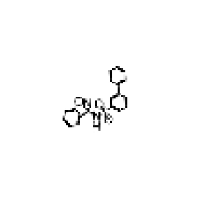 O=S(=O)(Nc1noc2ccccc12)c1cccc(-c2ccccc2)c1